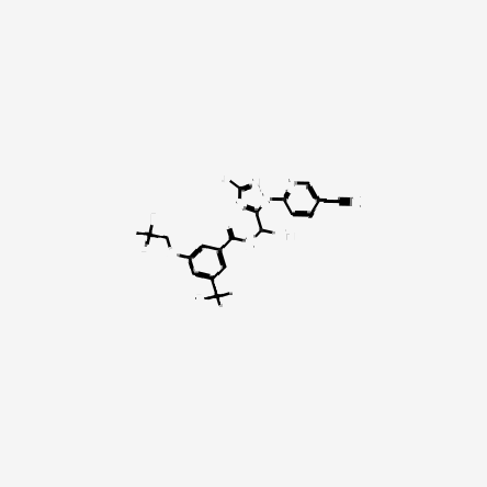 CC(NC(=O)c1cc(OCC(F)(F)F)cc(C(F)(F)F)c1)c1nc(Br)nn1-c1ccc(C#N)cn1